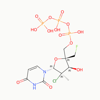 C[C@@]1(Cl)[C@H](O)[C@@](CF)(COP(=O)(O)OP(=O)(O)OP(=O)(O)O)O[C@H]1n1ccc(=O)[nH]c1=O